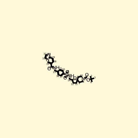 CC(C)(C)OC(=O)N1CCC2(CCC(CNS(=O)(=O)c3ccc(CNC(=O)c4ccc5nccn5c4)cc3)O2)CC1